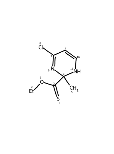 CCOC(=S)C1(C)N=C(Cl)C=CN1